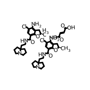 C[C@@H]1Cc2c(N)c(Cl)cc(C(=O)NCCC34CCCN3CCC4)c2O1.C[C@@H]1Cc2c(N)c(Cl)cc(C(=O)NCCC34CCCN3CCC4)c2O1.O=C(O)/C=C/C(=O)O